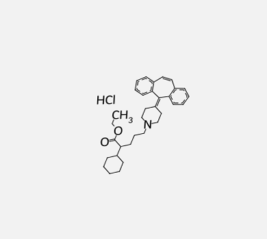 CCOC(=O)C(CCCN1CCC(=C2c3ccccc3C=Cc3ccccc32)CC1)C1CCCCC1.Cl